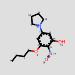 CCCCOc1cc(N2CCCC2)cc(O)c1N=O